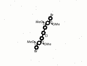 COCOC1(c2ccc(Br)cc2)CCC(OCOC)(c2ccc(-c3ccc(-c4ccc(C5(OCOC)CCC(OCOC)(c6ccc(Br)cc6)CC5)cc4)c(Cl)c3)cc2)CC1